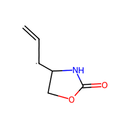 C=C[CH]C1COC(=O)N1